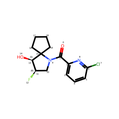 O=C(c1cccc(Cl)n1)N1C[C@@H](F)[C@@H](O)C12CCCC2